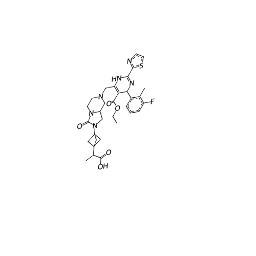 CCOC(=O)C1=C(CN2CCN3C(=O)N(C45CC(C(C)C(=O)O)(C4)C5)CC3C2)NC(c2nccs2)=NC1c1cccc(F)c1C